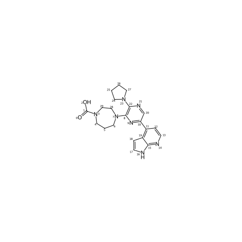 O=C(O)N1CCCN(c2nc(-c3ccnc4[nH]ccc34)cnc2N2CCCC2)CC1